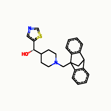 O[C@H](c1cncs1)C1CCN(CC23CC(c4ccccc42)c2ccccc23)CC1